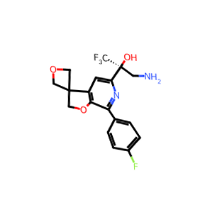 NC[C@](O)(c1cc2c(c(-c3ccc(F)cc3)n1)OCC21COC1)C(F)(F)F